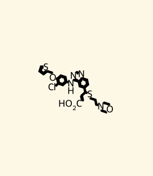 O=C(O)C=CC(SCCCN1CCOCC1)c1ccc2ncnc(Nc3ccc(OCc4cccs4)c(Cl)c3)c2c1